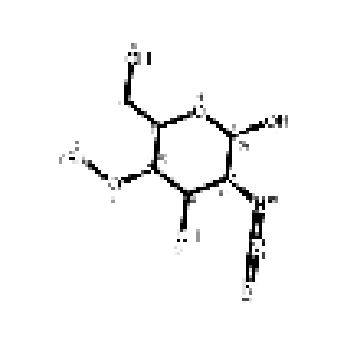 CCCCO[C@H]1C(CO)O[C@@H](O)[C@@H](N=[N+]=[N-])C1O